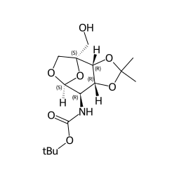 CC(C)(C)OC(=O)N[C@H]1[C@H]2OC[C@](CO)(O2)[C@@H]2OC(C)(C)O[C@H]12